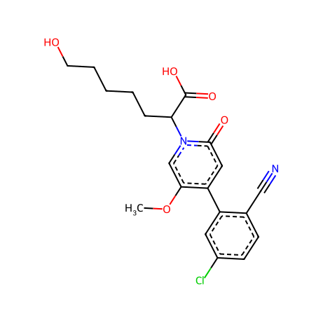 COc1cn(C(CCCCCO)C(=O)O)c(=O)cc1-c1cc(Cl)ccc1C#N